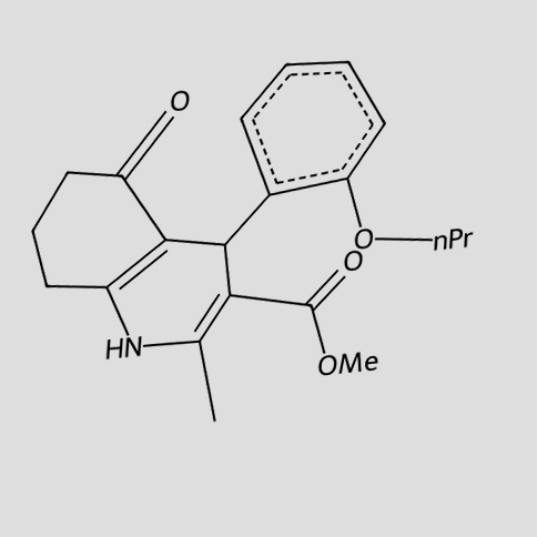 CCCOc1ccccc1C1C(C(=O)OC)=C(C)NC2=C1C(=O)CCC2